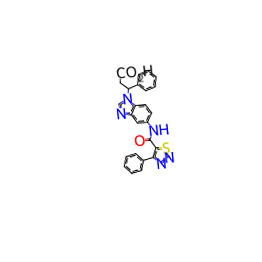 O=C(O)CC(c1ccccc1)n1cnc2cc(NC(=O)c3snnc3-c3ccccc3)ccc21